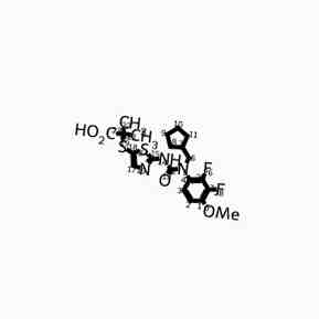 COc1ccc(N(CC2CCCC2)C(=O)Nc2ncc(SC(C)(C)C(=O)O)s2)c(F)c1F